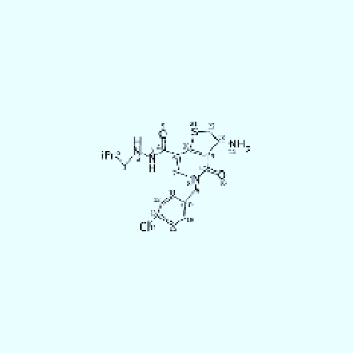 CC(C)CNNC(=O)c1cn(Cc2ccc(Cl)cc2)c(=O)c2c1SC[C@@H]2N